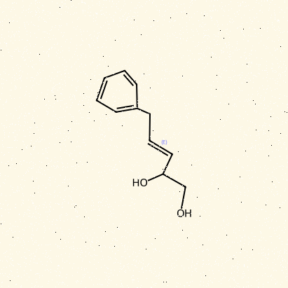 OCC(O)/C=C/Cc1ccccc1